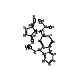 CCC(=O)N(c1ccc2c(c1)C(CO)c1ccccc1-2)N1C(=O)C=CC1=O